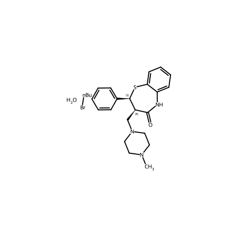 CCCCBr.CN1CCN(C[C@@H]2C(=O)Nc3ccccc3S[C@@H]2c2ccccc2)CC1.O